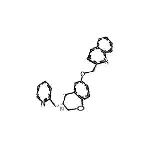 [CH]1c2cc(OCc3ccc4ccccc4n3)ccc2OC[C@@H]1Cc1ccccn1